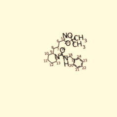 CC1(C)ON=C(CCCC2CCCCN2C(=O)NCc2ccccc2)O1